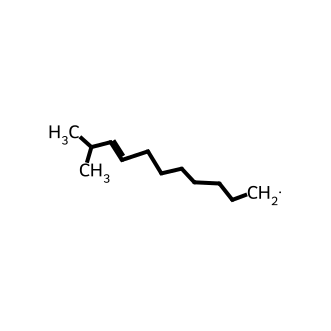 [CH2]CCCCCCC=CC(C)C